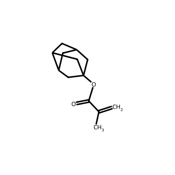 C=C(C)C(=O)OC12CC3CC(C1)C(C3)C2